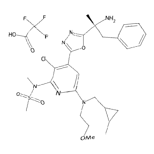 COCCN(CC1CC1C)c1cc(-c2nnc([C@](C)(N)Cc3ccccc3)o2)c(Cl)c(N(C)S(C)(=O)=O)n1.O=C(O)C(F)(F)F